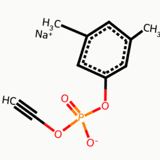 C#COP(=O)([O-])Oc1cc(C)cc(C)c1.[Na+]